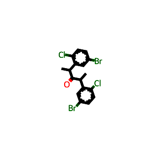 CC(C(=O)C(C)c1cc(Br)ccc1Cl)c1cc(Br)ccc1Cl